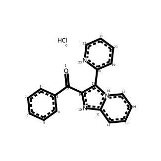 Cl.O=C(c1ccccc1)c1nc2ccccn2c1-c1ccccn1